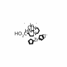 C1=CC[C]([Zr+2][C]2=CC=CC2)=C1.O=C(O)C1CCN2CCCN=C2N1.[Cl-].[Cl-].[In]